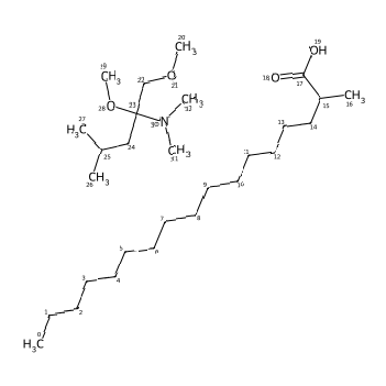 CCCCCCCCCCCCCCCC(C)C(=O)O.COCC(CC(C)C)(OC)N(C)C